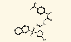 CN(C(=O)CNC(=O)C1CC(S)CN1S(=O)(=O)c1ccc2ccccc2c1)c1ccc(C(=O)O)cc1